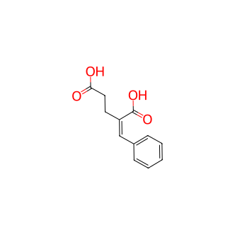 O=C(O)CCC(=Cc1ccccc1)C(=O)O